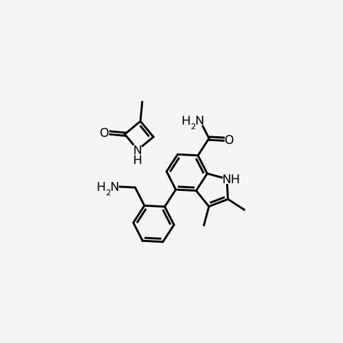 CC1=CNC1=O.Cc1[nH]c2c(C(N)=O)ccc(-c3ccccc3CN)c2c1C